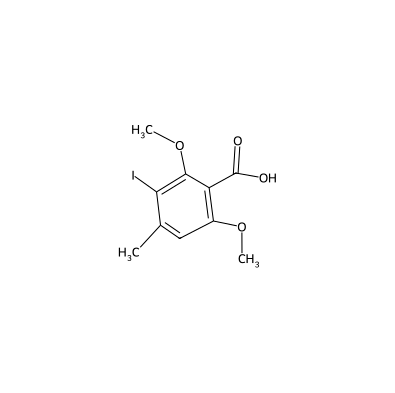 COc1cc(C)c(I)c(OC)c1C(=O)O